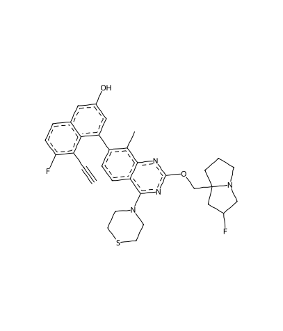 C#Cc1c(F)ccc2cc(O)cc(-c3ccc4c(N5CCSCC5)nc(OCC56CCCN5CC(F)C6)nc4c3C)c12